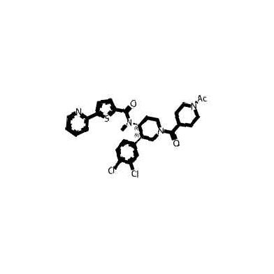 CC(=O)N1CCC(C(=O)N2CC[C@@H](N(C)C(=O)c3ccc(-c4ccccn4)s3)[C@H](c3ccc(Cl)c(Cl)c3)C2)CC1